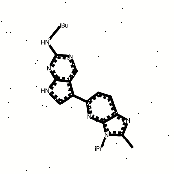 CCC(C)Nc1ncc2c(-c3ccc4nc(C)n(C(C)C)c4n3)c[nH]c2n1